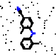 Cc1c[c]ccc1Nc1ccc(C#N)cc1C